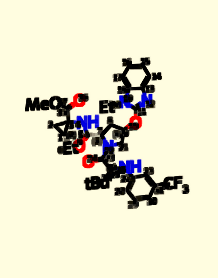 CC[C@@H]1CC1(NC(=O)[C@@H]1C[C@@H](Oc2nc3ccccc3n2CC)CN1C(=O)[C@@H](Nc1cccc(C(F)(F)F)c1)C(C)(C)C)C(=O)OC